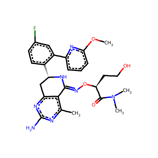 COc1cccc(-c2cc(F)ccc2[C@H]2Cc3nc(N)nc(C)c3/C(=N/O[C@@H](CCO)C(=O)N(C)C)N2)n1